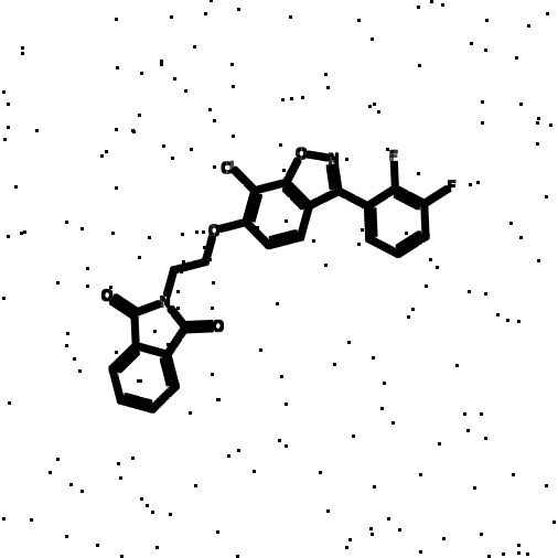 O=C1c2ccccc2C(=O)N1CCOc1ccc2c(-c3cccc(F)c3F)noc2c1Cl